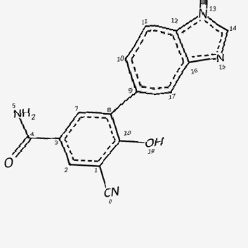 N#Cc1cc(C(N)=O)cc(-c2ccc3[nH]cnc3c2)c1O